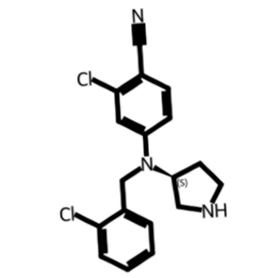 N#Cc1ccc(N(Cc2ccccc2Cl)[C@H]2CCNC2)cc1Cl